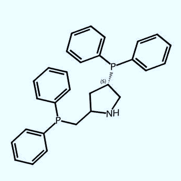 c1ccc(P(CC2C[C@H](P(c3ccccc3)c3ccccc3)CN2)c2ccccc2)cc1